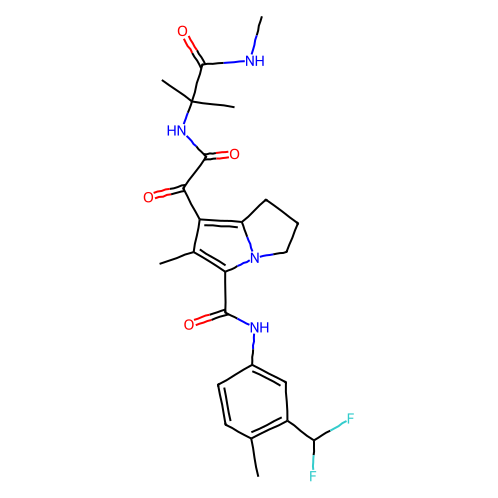 CNC(=O)C(C)(C)NC(=O)C(=O)c1c(C)c(C(=O)Nc2ccc(C)c(C(F)F)c2)n2c1CCC2